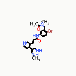 CN/C=C(\C=N)c1ccncc1/C=C/C(=O)Nc1ccc(Br)c(CN(C)C(C)=O)c1